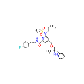 CCCN(c1cc(COCC(C)(N)Cc2ccccc2)cc(C(=O)NCCc2ccc(F)cc2)n1)S(C)(=O)=O